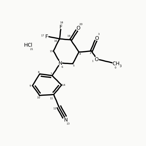 COC(=O)C1CN(c2cccc(C#N)c2)CC(F)(F)C1=O.Cl